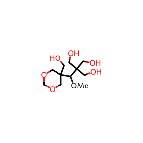 COC(C(CO)(CO)CO)C1(CO)COCOC1